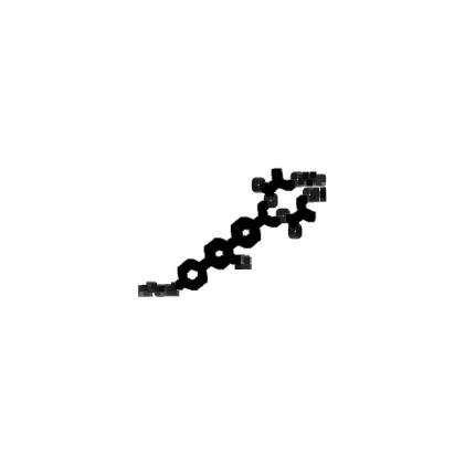 C=C(CO)C(=O)OCC(COC(=O)C(=C)COC)c1ccc(-c2ccc(C3CCC(CCCCC)CC3)cc2CC)cc1